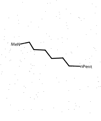 CCCCCCCCCCCNC